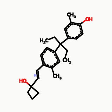 CCC(CC)(c1ccc(O)c(C)c1)c1ccc(/C=C/C2(O)CCC2)c(C)c1